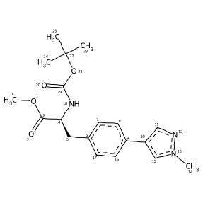 COC(=O)[C@H](Cc1ccc(-c2cnn(C)c2)cc1)NC(=O)OC(C)(C)C